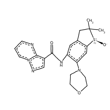 CC1(C)Cc2cc(NC(=O)c3cnn4cccnc34)c(N3CCOCC3)cc2[S@+]1[O-]